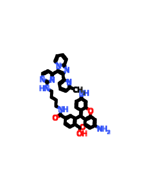 Cc1cccc(-c2nc3ccccn3c2-c2ccnc(NCCCCNC(=O)c3ccc(C(=O)O)c(-c4c5ccc(=N)cc-5oc5cc(N)ccc45)c3)n2)n1